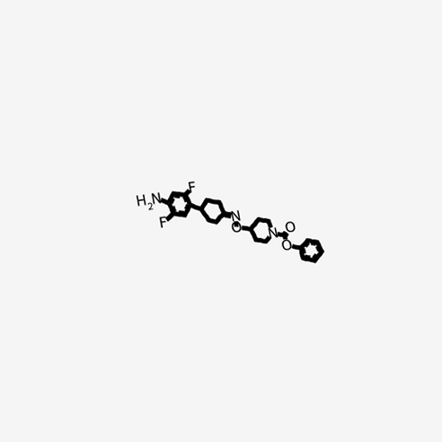 Nc1cc(F)c(C2CCC(=NOC3CCN(C(=O)Oc4ccccc4)CC3)CC2)cc1F